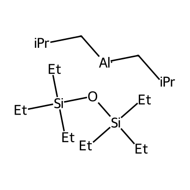 CC(C)[CH2][Al][CH2]C(C)C.CC[Si](CC)(CC)O[Si](CC)(CC)CC